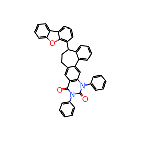 O=c1c2cc3c(cc2n(-c2ccccc2)c(=O)n1-c1ccccc1)-c1ccccc1C(c1cccc2c1oc1ccccc12)CC3